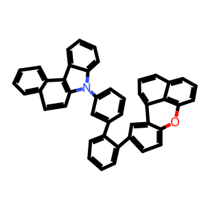 c1cc(-c2ccccc2-c2ccc3c(c2)-c2cccc4cccc(c24)O3)cc(-n2c3ccccc3c3c4ccccc4ccc32)c1